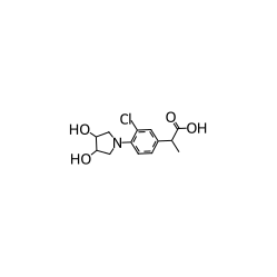 CC(C(=O)O)c1ccc(N2CC(O)C(O)C2)c(Cl)c1